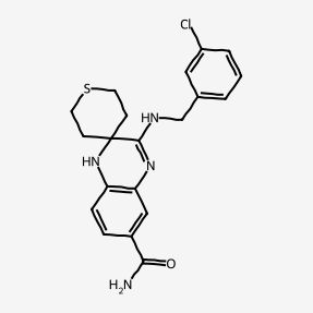 NC(=O)c1ccc2c(c1)N=C(NCc1cccc(Cl)c1)C1(CCSCC1)N2